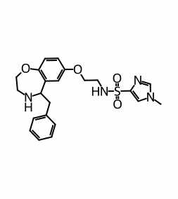 Cn1cnc(S(=O)(=O)NCCOc2ccc3c(c2)C(Cc2ccccc2)NCCO3)c1